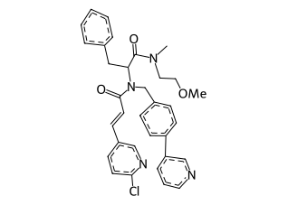 COCCN(C)C(=O)C(Cc1ccccc1)N(Cc1ccc(-c2cccnc2)cc1)C(=O)C=Cc1ccc(Cl)nc1